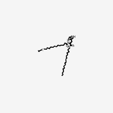 CCCCCCCCC=CCCCCCCCCNC(=O)C(Cc1c[nH]cn1)NC(=O)CCCCCCCC=CCCCCCCCC